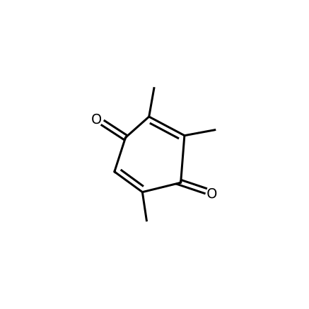 CC1=CC(=O)C(C)=C(C)C1=O